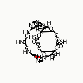 O=[P@]1(S)OCC2O[C@@H]3[C@H](F)[C@@H]2O[P@](=O)(S)OCC2OC([C@H](F)[C@@H]2O1)n1cnc2c(ncnc21)NCC1NC1CNc1ncnc2c1ncn23